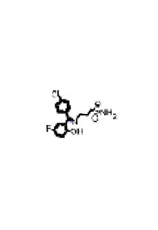 NS(=O)(=O)CCC/N=C(\c1ccc(Cl)cc1)c1cc(F)ccc1O